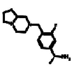 C[C@H](N)c1ccc(CN2CCN3CCCC3C2)c(F)c1